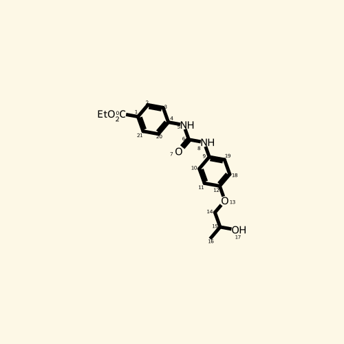 CCOC(=O)c1ccc(NC(=O)Nc2ccc(OCC(C)O)cc2)cc1